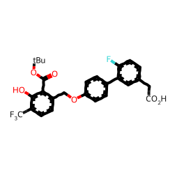 CC(C)(C)OC(=O)c1c(COc2ccc(-c3cc(CC(=O)O)ccc3F)cc2)ccc(C(F)(F)F)c1O